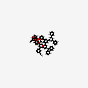 N#Cc1cccc(-c2ccc3c(c2)c2cc(-c4cccc(C#N)c4)ccc2n3-c2c(-c3cccc(-n4c5ccccc5c5ccccc54)c3)cc(-c3nc(-c4ccccc4)cc(-c4ccccc4)n3)cc2-c2cccc(-n3c4ccccc4c4ccccc43)c2)c1